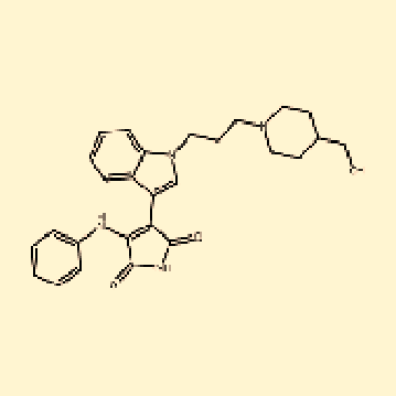 O=C1NC(=O)C(c2cn(CCCN3CCC(CO)CC3)c3ccccc23)=C1Nc1ccccc1